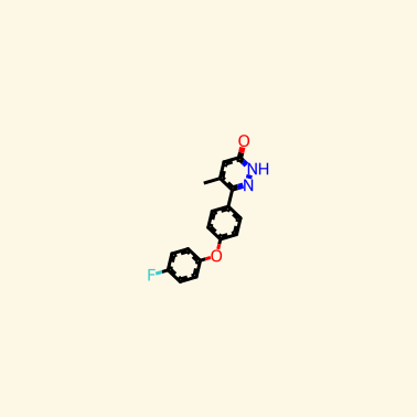 Cc1cc(=O)[nH]nc1-c1ccc(Oc2ccc(F)cc2)cc1